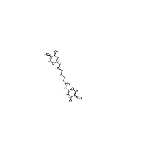 O=c1cc(CNCCCCNCc2cc(=O)c(O)co2)occ1O